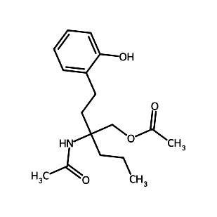 CCCC(CCc1ccccc1O)(COC(C)=O)NC(C)=O